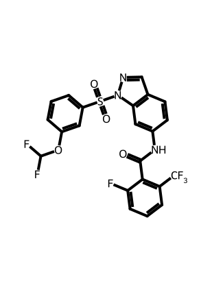 O=C(Nc1ccc2cnn(S(=O)(=O)c3cccc(OC(F)F)c3)c2c1)c1c(F)cccc1C(F)(F)F